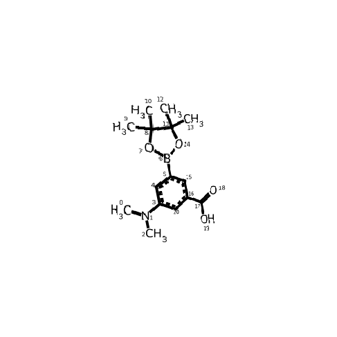 CN(C)c1cc(B2OC(C)(C)C(C)(C)O2)cc(C(=O)O)c1